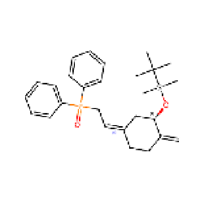 C=C1CC/C(=C/CP(=O)(c2ccccc2)c2ccccc2)C[C@H]1O[Si](C)(C)C(C)(C)C